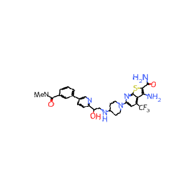 CNC(=O)c1cccc(-c2ccc(C(O)CNC3CCN(c4cc(C(F)(F)F)c5c(N)c(C(N)=O)sc5n4)CC3)nc2)c1